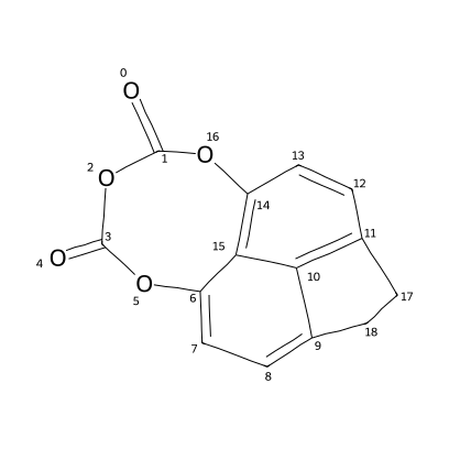 O=C1OC(=O)Oc2ccc3c4c(ccc(c24)O1)CC3